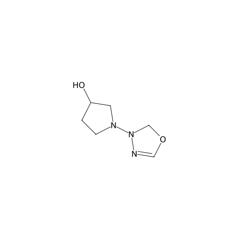 OC1CCN(N2COC=N2)C1